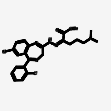 COC(=O)C(CCCN(C)C)=NNC1=Nc2ccc(Cl)cc2C(c2ccccc2Cl)=NC1